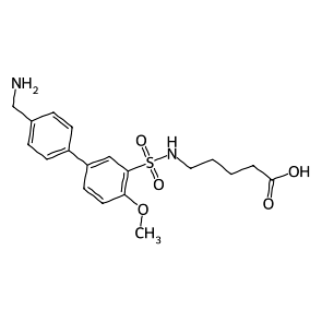 COc1ccc(-c2ccc(CN)cc2)cc1S(=O)(=O)NCCCCC(=O)O